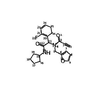 C#CC(=O)N(Cc1ccco1)C(C(=O)NC1CCCC1)C1=C(F)C=CCC1